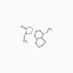 C=CN1CCCC1=O.C=Cc1cccc2ccccc12